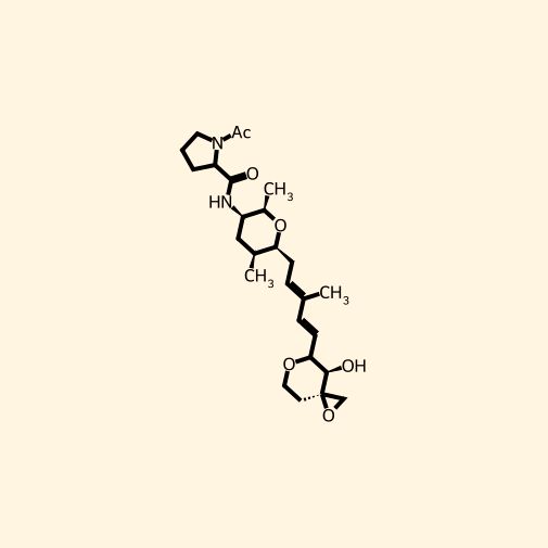 CC(=O)N1CCCC1C(=O)N[C@@H]1C[C@H](C)[C@H](C/C=C(C)/C=C/C2OCC[C@@]3(CO3)[C@@H]2O)O[C@@H]1C